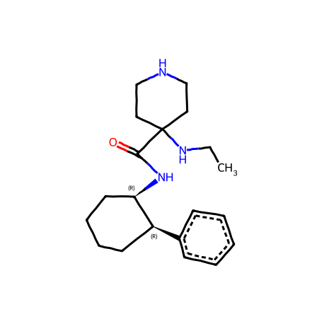 CCNC1(C(=O)N[C@@H]2CCCC[C@@H]2c2ccccc2)CCNCC1